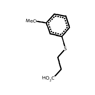 COc1cccc(SCCC(=O)O)c1